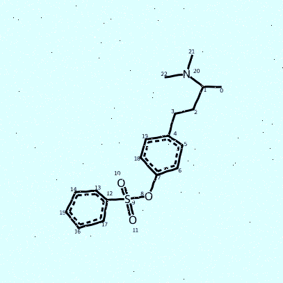 CC(CCc1ccc(OS(=O)(=O)c2ccccc2)cc1)N(C)C